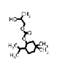 CC(O)COC(=O)OC1CC(C)(C)CCC1C(C)C